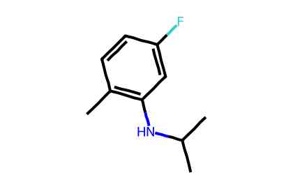 Cc1ccc(F)cc1NC(C)C